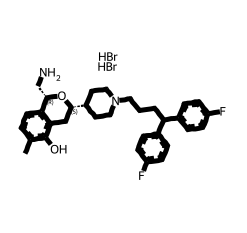 Br.Br.Cc1ccc2c(c1O)C[C@@H](C1CCN(CCCC(c3ccc(F)cc3)c3ccc(F)cc3)CC1)O[C@H]2CN